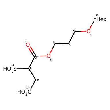 CCCCCCOCCCOC(=O)C(CC(=O)O)S(=O)(=O)O